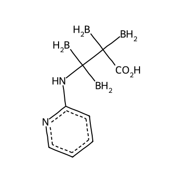 BC(B)(Nc1ccccn1)C(B)(B)C(=O)O